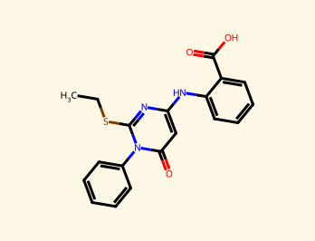 CCSc1nc(Nc2ccccc2C(=O)O)cc(=O)n1-c1ccccc1